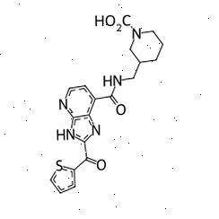 O=C(c1nc2c(C(=O)NCC3CCCN(C(=O)O)C3)ccnc2[nH]1)c1cccs1